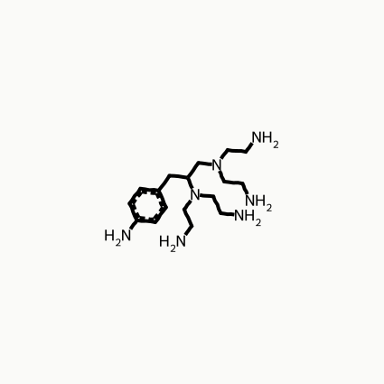 NCCN(CCN)CC(Cc1ccc(N)cc1)N(CCN)CCN